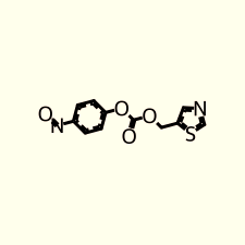 O=Nc1ccc(OC(=O)OCc2cncs2)cc1